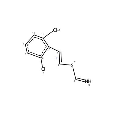 N=CS/C=C/c1c(Cl)cccc1Cl